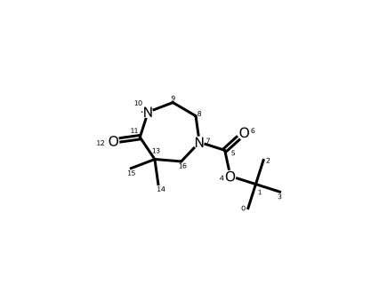 CC(C)(C)OC(=O)N1CC[N]C(=O)C(C)(C)C1